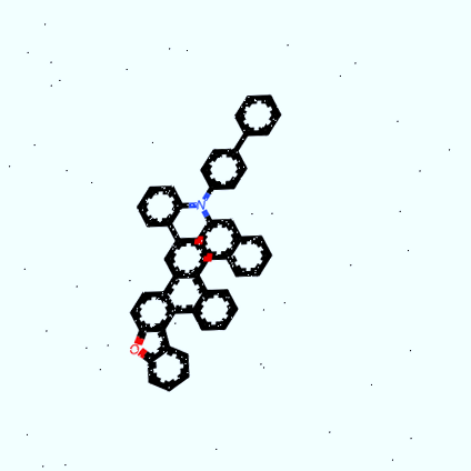 c1ccc(-c2ccc(N(c3ccc4ccccc4c3)c3ccccc3-c3ccc4c5ccccc5c5c(ccc6oc7ccccc7c65)c4c3)cc2)cc1